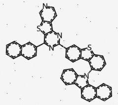 c1ccc2cc(-c3nc(-c4ccc5c(c4)sc4cccc(-n6c7ccccc7c7ccc8ccccc8c76)c45)nc4c3sc3cnccc34)ccc2c1